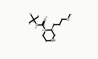 COCCC[C@H]1CNCCN1C(=O)OC(C)(C)C